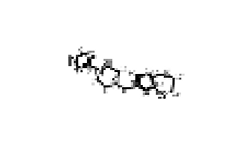 c1nnc(N2CCN(Cc3ccc4c(c3)SCCS4)CC2)s1